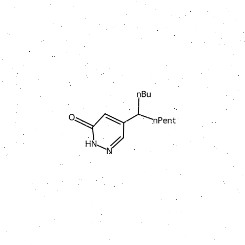 CCCCCC(CCCC)c1cn[nH]c(=O)c1